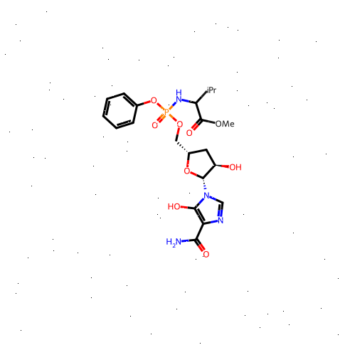 COC(=O)C(NP(=O)(OC[C@@H]1C[C@@H](O)[C@H](n2cnc(C(N)=O)c2O)O1)Oc1ccccc1)C(C)C